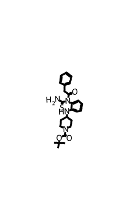 CC(C)(C)OC(=O)N1CCC(Nc2ccccc2N(C(=O)Cc2ccccc2)C(N)=S)CC1